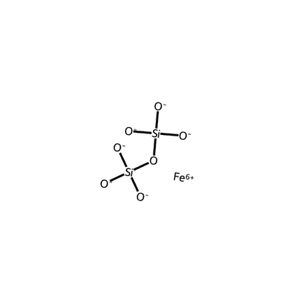 [Fe+6].[O-][Si]([O-])([O-])O[Si]([O-])([O-])[O-]